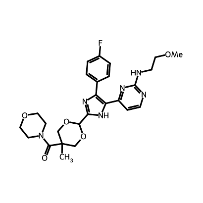 COCCNc1nccc(-c2[nH]c(C3OCC(C)(C(=O)N4CCOCC4)CO3)nc2-c2ccc(F)cc2)n1